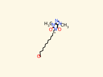 Cn1cnc2c1c(=O)n(CCCCCCCCCCCCC1CO1)c(=O)n2C